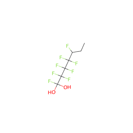 CCC(F)C(F)(F)C(F)(F)C(F)(F)C(O)(O)F